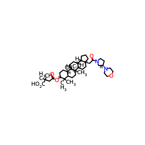 CC(C)(CC(=O)O[C@H]1CC[C@@]2(C)C(CC[C@]3(C)C2CC[C@@H]2[C@H]4CCC[C@]4(CC(=O)N4CC[C@@H](N5CCOCC5)C4)CC[C@]23C)C1(C)C)C(=O)O